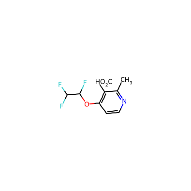 Cc1nccc(OC(F)C(F)F)c1C(=O)O